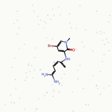 C=C(/C=C\C=C(N)N)Nc1cc(Br)cn(C)c1=O